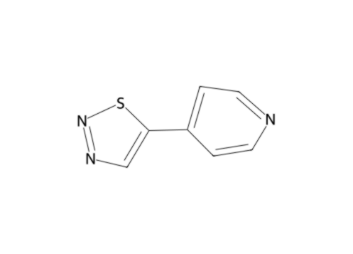 c1cc(-c2cnns2)ccn1